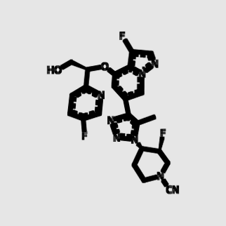 Cc1c(-c2cc(O[C@H](CO)c3ccc(F)cn3)c3c(F)cnn3c2)nnn1[C@@H]1CCN(C#N)C[C@@H]1F